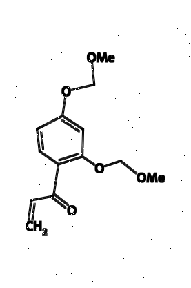 C=CC(=O)c1ccc(OCOC)cc1OCOC